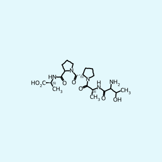 CC(O)C(N)C(=O)N[C@@H](C)C(=O)N1CCC[C@H]1C(=O)N1CCCC1C(=O)N[C@@H](C)C(=O)O